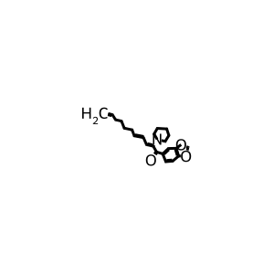 C=CCCCCC=CC=C(C(=O)c1ccc2c(c1)OCO2)N1CCCCC1